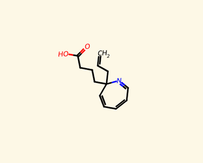 C=CCC1(CCCC(=O)O)C=CC=CC=N1